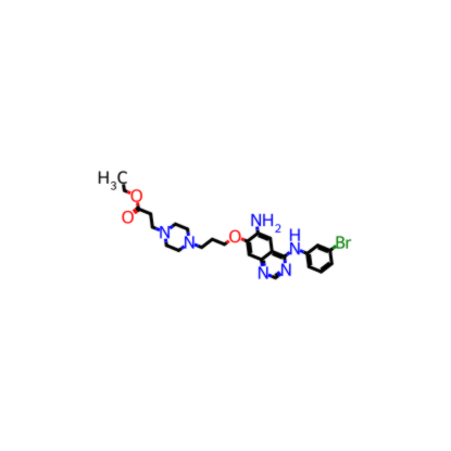 CCOC(=O)CCN1CCN(CCCOc2cc3ncnc(Nc4cccc(Br)c4)c3cc2N)CC1